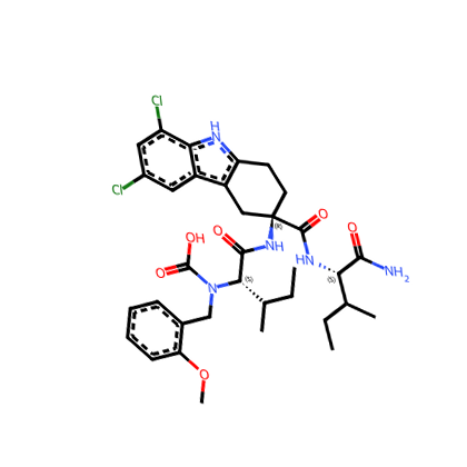 CCC(C)[C@H](NC(=O)[C@@]1(NC(=O)[C@H](C(C)CC)N(Cc2ccccc2OC)C(=O)O)CCc2[nH]c3c(Cl)cc(Cl)cc3c2C1)C(N)=O